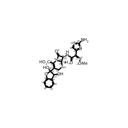 CO/N=C(\C(=O)N[C@@H]1C(=O)N2C(C(=O)O)=C(C3(O)Oc4ccccc4C3O)CS[C@H]12)c1csc(N)n1